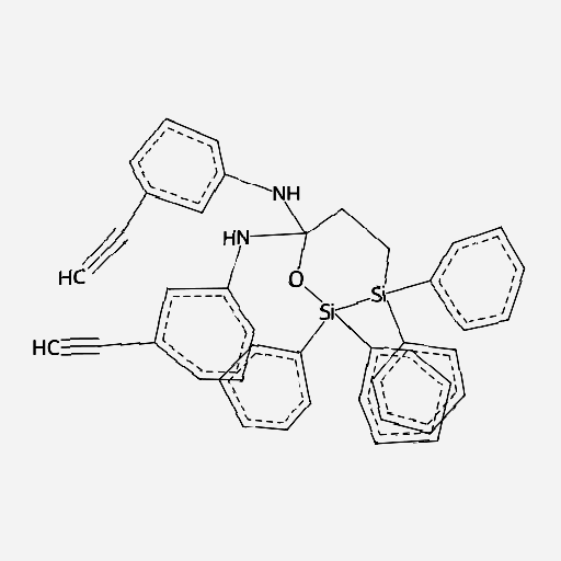 C#Cc1cccc(NC2(Nc3cccc(C#C)c3)CC[Si](c3ccccc3)(c3ccccc3)[Si](c3ccccc3)(c3ccccc3)O2)c1